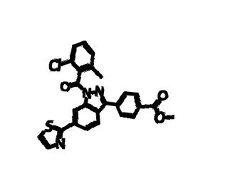 COC(=O)c1ccc(-c2nn(C(=O)c3c(C)cccc3Cl)c3cc(-c4nccs4)ccc23)cc1